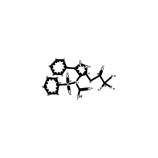 O=C(O)N(c1c(-c2ccccc2)noc1CC(=O)C(F)(F)F)S(=O)(=O)c1ccccc1